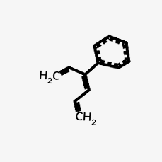 C=CC=C(C=C)c1ccccc1